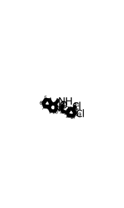 NCC1c2ccccc2CCN1C(=O)Cc1ccc(Cl)c(Cl)c1